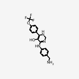 NCc1ccc(NC2=NCNC(c3ccc(OC(F)(F)F)cc3)=C2O)cc1